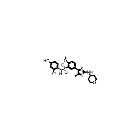 COc1ccc(-c2sc(NC3CCOCC3)nc2C)cc1S(=O)(=O)Nc1ccc(O)cc1Cl